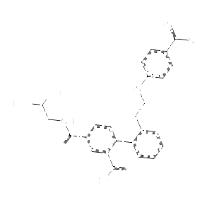 CC(C)CNC(=O)c1ccc(-c2ccccc2CCNc2ccc(C(=N)N)cc2)c(C(=O)O)c1